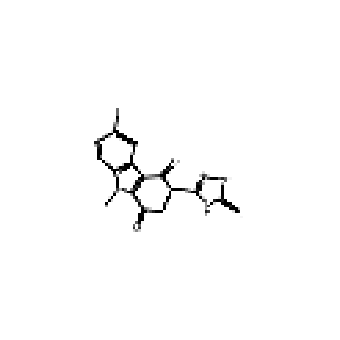 Cn1c2c(c3cc(I)ccc31)C(=O)C(c1n[nH]c(=S)[nH]1)CC2=O